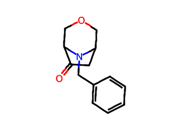 O=C1CC2COCC1N2Cc1ccccc1